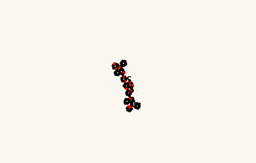 c1ccc(N(c2ccccc2)c2ccc(-c3ccc4c(c3)Sc3ccc5c6c(ccc-4c36)-c3ccc(-c4ccc(N(c6ccccc6)c6ccccc6)c6ccccc46)cc3S5)c3ccccc23)cc1